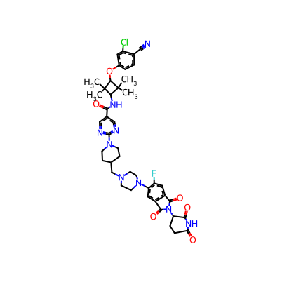 CC1(C)C(NC(=O)c2cnc(N3CCC(CN4CCN(c5cc6c(cc5F)C(=O)N(C5CCC(=O)NC5=O)C6=O)CC4)CC3)nc2)C(C)(C)C1Oc1ccc(C#N)c(Cl)c1